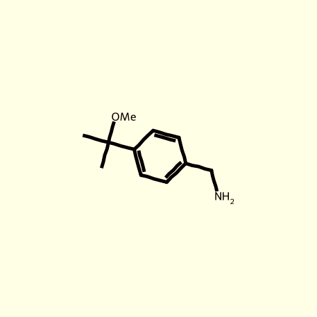 COC(C)(C)c1ccc(CN)cc1